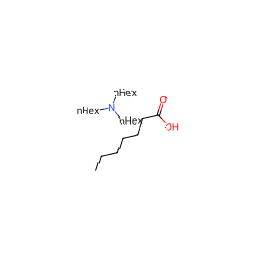 CCCCCCC(=O)O.CCCCCCN(CCCCCC)CCCCCC